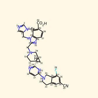 CCn1cncc1Cn1c(CN2CC[C@]3(c4nccc(N5CCc6cc(C#N)cc(F)c6C5)n4)C[C@@H]3C2)nc2ccc(C(=O)O)cc21